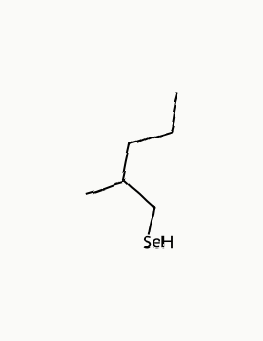 CCCC(C)C[SeH]